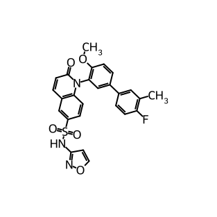 COc1ccc(-c2ccc(F)c(C)c2)cc1-n1c(=O)ccc2cc(S(=O)(=O)Nc3ccon3)ccc21